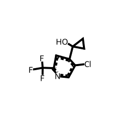 OC1(c2cc(C(F)(F)F)ncc2Cl)CC1